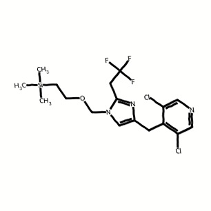 C[Si](C)(C)CCOCn1cc(Cc2c(Cl)cncc2Cl)nc1CC(F)(F)F